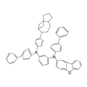 c1ccc(-c2ccc(N(c3ccc(C4CCC5CCCC56CC4C6)cc3)c3cccc(N(c4ccc(-c5ccccc5)cc4)c4ccc5oc6ccccc6c5c4)c3)cc2)cc1